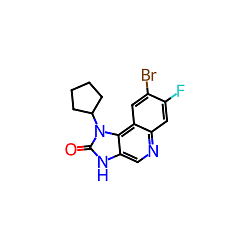 O=c1[nH]c2cnc3cc(F)c(Br)cc3c2n1C1CCCC1